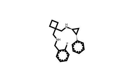 Fc1ccccc1CNCC1(CN[C@H]2C[C@@H]2c2ccccc2)CCC1